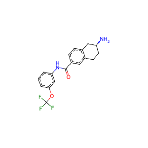 N[C@H]1CCc2cc(C(=O)Nc3cccc(OC(F)(F)F)c3)ccc2C1